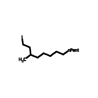 CCCCCCCCCCC(C)CCI